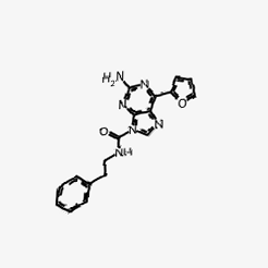 Nc1nc(-c2ccco2)c2ncn(C(=O)NCCc3ccccc3)c2n1